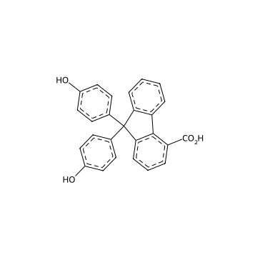 O=C(O)c1cccc2c1-c1ccccc1C2(c1ccc(O)cc1)c1ccc(O)cc1